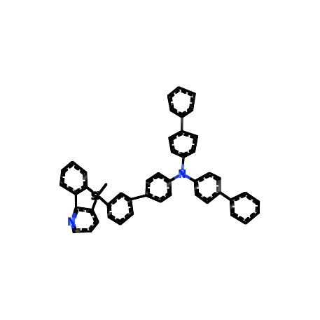 C[Si]1(c2cccc(-c3ccc(N(c4ccc(-c5ccccc5)cc4)c4ccc(-c5ccccc5)cc4)cc3)c2)c2ccccc2-c2ncccc21